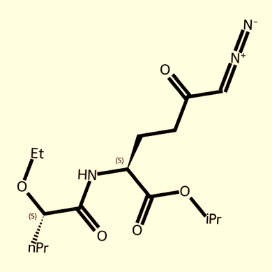 CCC[C@H](OCC)C(=O)N[C@@H](CCC(=O)C=[N+]=[N-])C(=O)OC(C)C